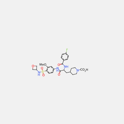 COc1cc(NC(=O)C(CC2CCN(C(=O)O)CC2)NC(=O)c2ccc(F)cc2)ccc1S(=O)(=O)NC1COC1